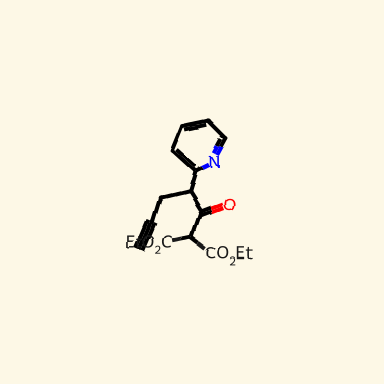 C#CCC(C(=O)C(C(=O)OCC)C(=O)OCC)c1ccccn1